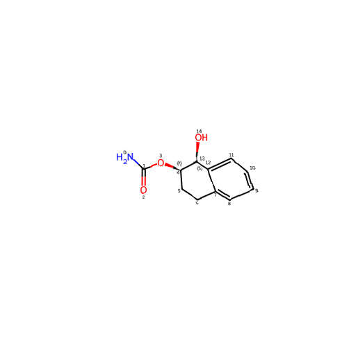 NC(=O)O[C@@H]1CCc2ccccc2[C@@H]1O